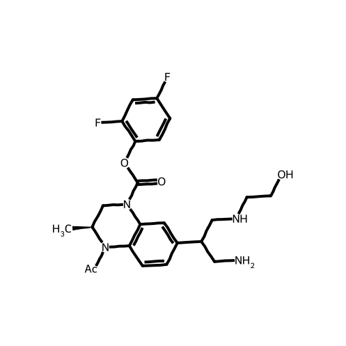 CC(=O)N1c2ccc(C(CN)CNCCO)cc2N(C(=O)Oc2ccc(F)cc2F)C[C@@H]1C